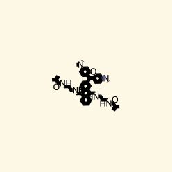 C=C(C)C(=O)NCCCNCc1c2ccccc2c(CNCCCNC(=O)C(=C)C)c2cc(-c3c4cc/c(=N\C)cc-4oc4cc(N(C)C)ccc34)ccc12